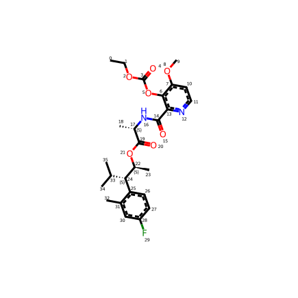 CCOC(=O)Oc1c(OC)ccnc1C(=O)N[C@@H](C)C(=O)O[C@@H](C)[C@H](c1ccc(F)cc1C)C(C)C